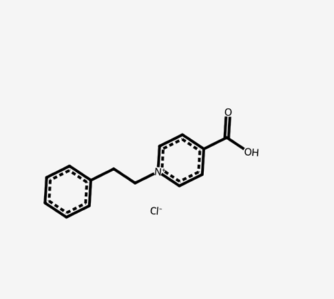 O=C(O)c1cc[n+](CCc2ccccc2)cc1.[Cl-]